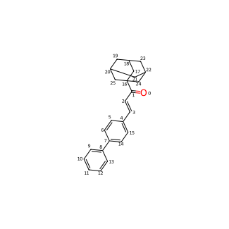 O=C(C=Cc1ccc(-c2ccccc2)cc1)C12CC3CC(CC(C3)C1)C2